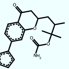 CC(CC1CC(=O)c2ccc(-c3cccs3)cc2O1)C(C)(C)OC(N)=O